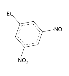 CCc1cc(N=O)cc([N+](=O)[O-])c1